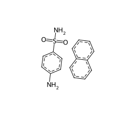 Nc1ccc(S(N)(=O)=O)cc1.c1ccc2ccccc2c1